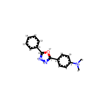 CN(C)c1ccc(-c2nnc(-c3ccccc3)o2)cc1